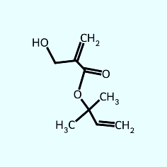 C=CC(C)(C)OC(=O)C(=C)CO